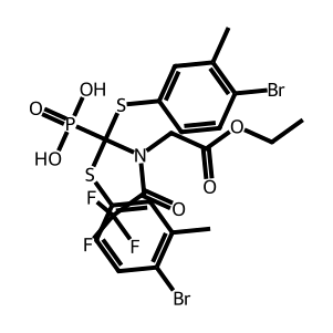 CCOC(=O)CN(C(=O)C(F)(F)F)C(Sc1ccc(Br)c(C)c1)(Sc1ccc(Br)c(C)c1)P(=O)(O)O